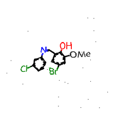 COc1cc(Br)cc(/C=N\c2cccc(Cl)c2)c1O